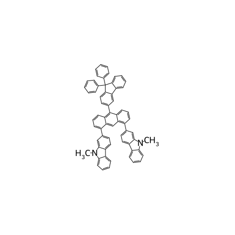 Cn1c2ccccc2c2ccc(-c3cccc4c(-c5ccc6c(c5)-c5ccccc5C6(c5ccccc5)c5ccccc5)c5cccc(-c6ccc7c8ccccc8n(C)c7c6)c5cc34)cc21